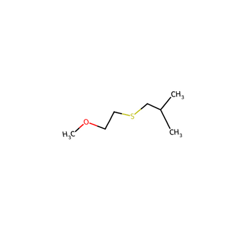 COCCSCC(C)C